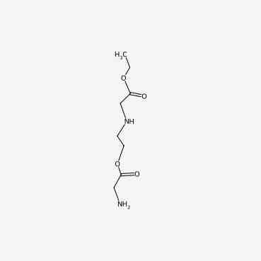 CCOC(=O)CNCCOC(=O)CN